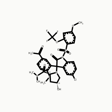 COc1ccc(S(=O)(=O)N2C(=O)C(c3cc(C(C)=O)ccc3OC)(N3C[C@H](O)C[C@H]3C(=O)N(C)C)c3cc(Cl)ccc32)c(OC(F)(F)F)c1